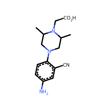 CC1CN(c2ccc(N)cc2C#N)CC(C)N1CC(=O)O